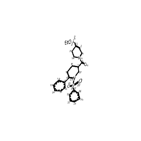 CCOC(=O)C1CCN(C(=O)C2CCC(c3ccccc3)N(S(=O)(=O)c3ccccc3)C2)CC1